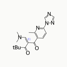 Cc1nc(-n2cncn2)ccc1C(=O)/C(=C/N(C)C)C(=O)C(C)(C)C